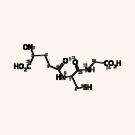 O=NC(CCC(=O)NC(CS)C(=O)NCC(=O)O)C(=O)O